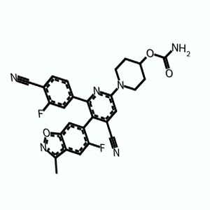 Cc1noc2cc(-c3c(C#N)cc(N4CCC(OC(N)=O)CC4)nc3-c3ccc(C#N)c(F)c3)c(F)cc12